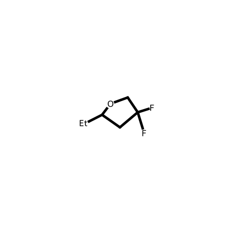 CCC1CC(F)(F)CO1